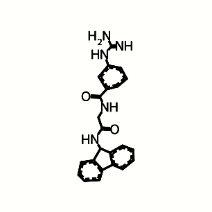 N=C(N)Nc1cccc(C(=O)NCC(=O)NC2c3ccccc3-c3ccccc32)c1